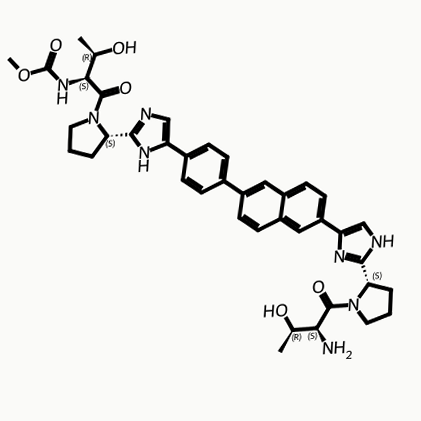 COC(=O)N[C@H](C(=O)N1CCC[C@H]1c1ncc(-c2ccc(-c3ccc4cc(-c5c[nH]c([C@@H]6CCCN6C(=O)[C@@H](N)[C@@H](C)O)n5)ccc4c3)cc2)[nH]1)[C@@H](C)O